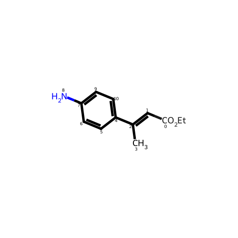 CCOC(=O)C=C(C)c1ccc(N)cc1